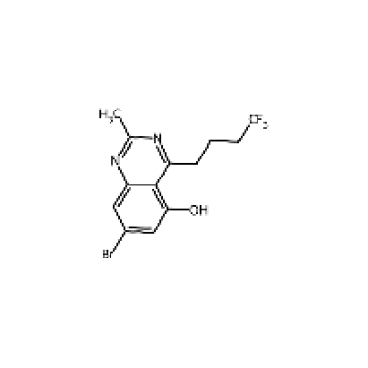 Cc1nc(CCCC(F)(F)F)c2c(O)cc(Br)cc2n1